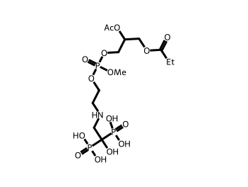 CCC(=O)OCC(COP(=O)(OC)OCCNCC(O)(P(=O)(O)O)P(=O)(O)O)OC(C)=O